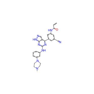 C=CC(=O)Nc1cc(C#N)cc(-c2nc(Nc3cccc(N4CCN(C)CC4)c3)nc3[nH]ncc23)c1